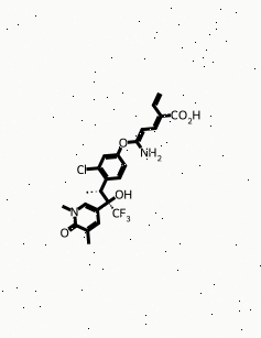 C=C/C(=C\C=C(/N)Oc1ccc([C@@H](C)[C@@](O)(c2cc(C)c(=O)n(C)c2)C(F)(F)F)c(Cl)c1)C(=O)O